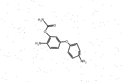 NC(=O)Oc1cc(Oc2ccc(N)cc2)ccc1N